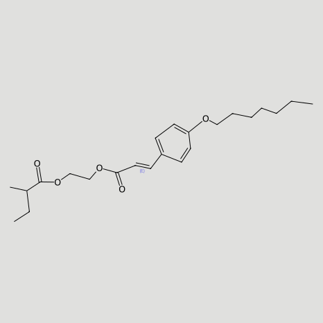 CCCCCCCOc1ccc(/C=C/C(=O)OCCOC(=O)C(C)CC)cc1